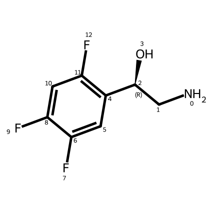 NC[C@H](O)c1cc(F)c(F)cc1F